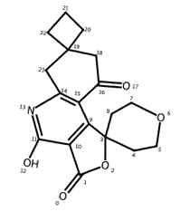 O=C1OC2(CCOCC2)c2c1c(O)nc1c2C(=O)CC2(CCC2)C1